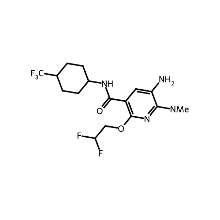 CNc1nc(OCC(F)F)c(C(=O)NC2CCC(C(F)(F)F)CC2)cc1N